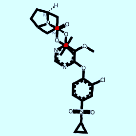 COc1c(Oc2ccc(S(=O)(=O)C3CC3)cc2Cl)ncnc1O[C@H]1CC2CC[C@@H](C1)N2C(=O)OC(C)(C)C